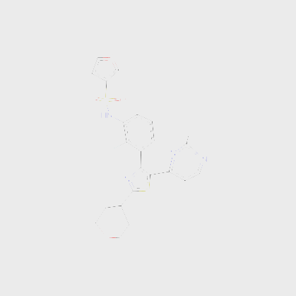 Cc1nccc(-c2sc(C3CCOCC3)nc2-c2cccc(NS(=O)(=O)c3ccoc3)c2F)n1